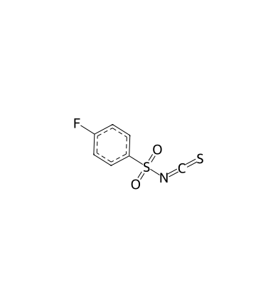 O=S(=O)(N=C=S)c1ccc(F)cc1